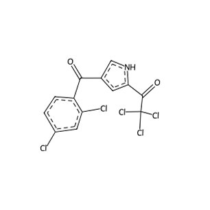 O=C(c1c[nH]c(C(=O)C(Cl)(Cl)Cl)c1)c1ccc(Cl)cc1Cl